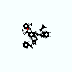 N[C@@H]1[C@@H]2CC[C@H]1N(C(=O)c1cc(Cl)c3c(c1)nc(-c1cc4ccccc4n1CC1CC1)n3CC1CN(C(=O)c3ccccc3)C1)C2